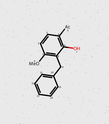 COc1ccc(C(C)=O)c(O)c1Cc1ccccc1